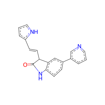 O=C1Nc2ccc(-c3cccnc3)cc2C1C=Cc1ccc[nH]1